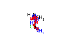 CCc1nc2c(cnn2CC)c(NC2CCOCC2)c1CNC(=O)CC(=O)NCc1ccc(Cl)c(-c2cccc(CN3CC[C@H](N)C3)c2)c1